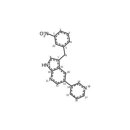 O=[N+]([O-])c1cccc(Cc2c[nH]c3ncc(-c4cccnc4)cc23)c1